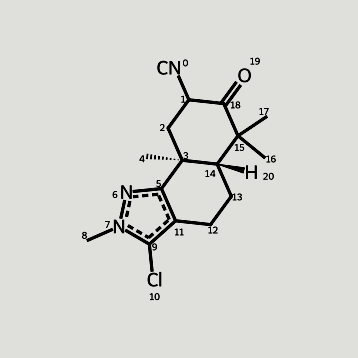 [C-]#[N+]C1C[C@]2(C)c3nn(C)c(Cl)c3CC[C@H]2C(C)(C)C1=O